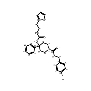 O=C(NCCc1cccs1)OC1(c2ccccc2)CCN(C(=O)CCc2ccc(F)cc2)CC1